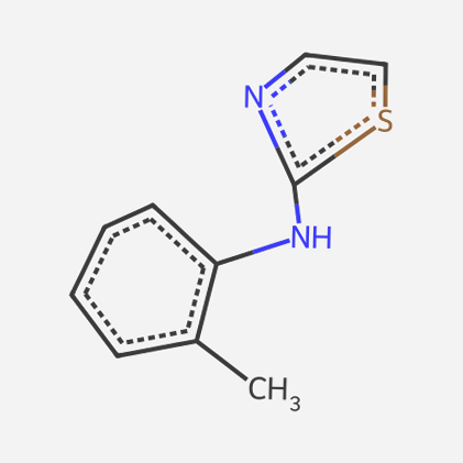 Cc1ccccc1Nc1nccs1